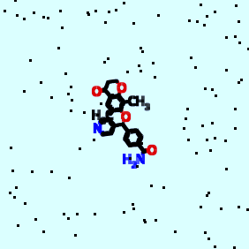 Cc1cc2c(c(C)c1O[C@@H](c1ccncc1)c1ccc(C(N)=O)cc1)OCCC2=O